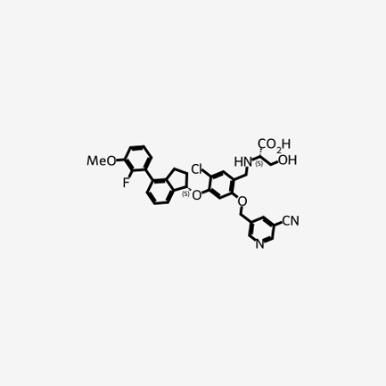 COc1cccc(-c2cccc3c2CC[C@@H]3Oc2cc(OCc3cncc(C#N)c3)c(CN[C@@H](CO)C(=O)O)cc2Cl)c1F